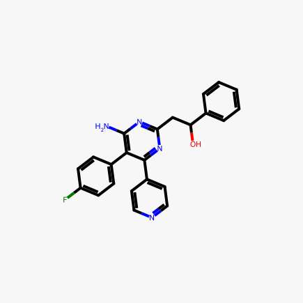 Nc1nc(CC(O)c2ccccc2)nc(-c2ccncc2)c1-c1ccc(F)cc1